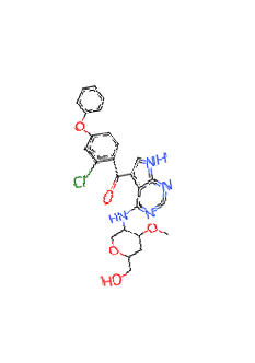 COC1CC(CO)OCC1Nc1ncnc2[nH]cc(C(=O)c3ccc(Oc4ccccc4)cc3Cl)c12